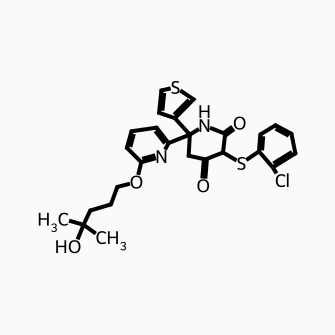 CC(C)(O)CCCOc1cccc(C2(c3ccsc3)CC(=O)C(Sc3ccccc3Cl)C(=O)N2)n1